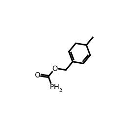 CC1C=CC(COC(=O)P)=CC1